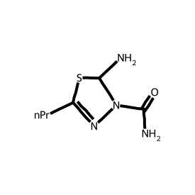 CCCC1=NN(C(N)=O)C(N)S1